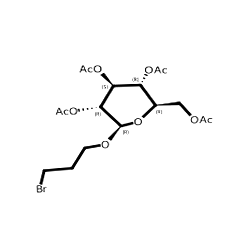 CC(=O)OC[C@H]1O[C@@H](OCCCBr)[C@H](OC(C)=O)[C@@H](OC(C)=O)[C@@H]1OC(C)=O